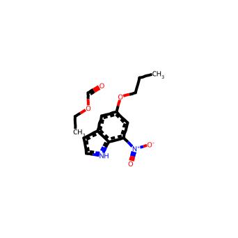 CCCOc1cc([N+](=O)[O-])c2[nH]ccc2c1.CCOC=O